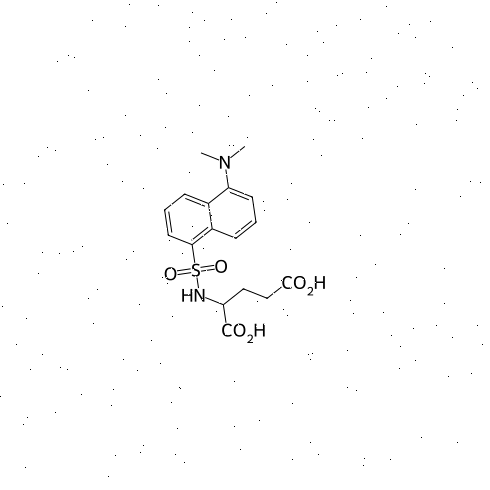 CN(C)c1cccc2c(S(=O)(=O)NC(CCC(=O)O)C(=O)O)cccc12